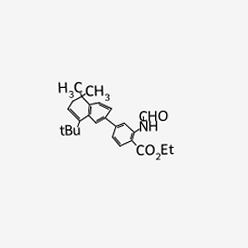 CCOC(=O)c1ccc(-c2ccc3c(c2)C(C(C)(C)C)=CCC3(C)C)cc1NC=O